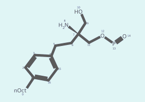 CCCCCCCCc1ccc(CC[C@](N)(CO)COP=O)cc1